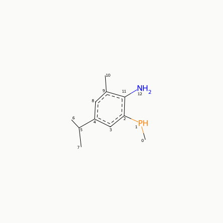 CPc1cc(C(C)C)cc(C)c1N